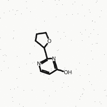 Oc1ccnc(C2CCCO2)n1